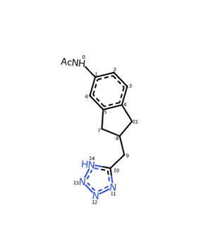 CC(=O)Nc1ccc2c(c1)CC(Cc1nnn[nH]1)C2